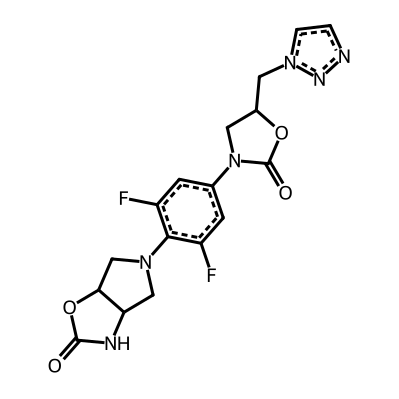 O=C1NC2CN(c3c(F)cc(N4CC(Cn5ccnn5)OC4=O)cc3F)CC2O1